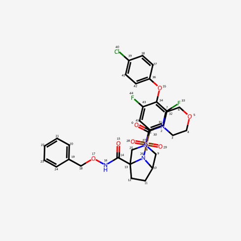 O=C(N1CCOCC1)N1CC2CCC(C(=O)NOCc3ccccc3)(C1)N2S(=O)(=O)c1cc(F)c(Oc2ccc(Cl)cc2)c(F)c1